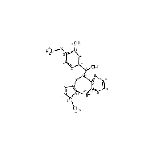 Cc1cc(C(O)N2Cc3cnn(C)c3Nc3ccccc32)ccc1CN